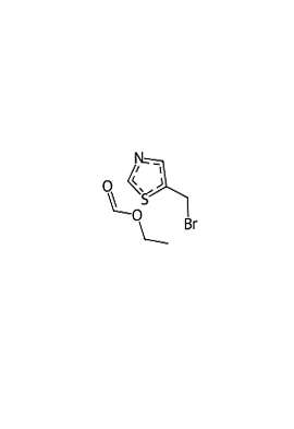 BrCc1cncs1.CCOC=O